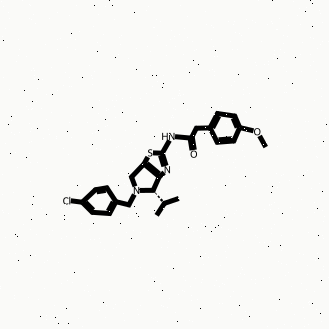 COc1ccc(CC(=O)Nc2nc3c(s2)CN(Cc2ccc(Cl)cc2)[C@H]3C(C)C)cc1